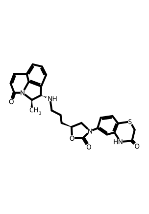 C[C@@H]1[C@@H](NCCC[C@H]2CN(c3ccc4c(c3)NC(=O)CS4)C(=O)O2)c2cccc3ccc(=O)n1c23